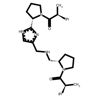 CC(C)[C@H](C)C(=O)N1CCC[C@H]1CNCc1c[nH]c([C@@H]2CCCN2C(=O)[C@@H](C)C(C)C)n1